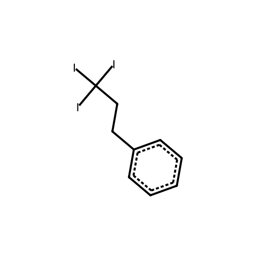 IC(I)(I)CCc1ccccc1